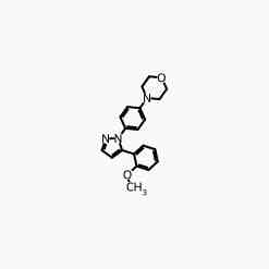 COc1ccccc1-c1ccnn1-c1ccc(N2CCOCC2)cc1